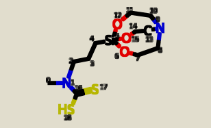 CN(CCC[Si]12OCCN(CCO1)CCO2)C(=S)S